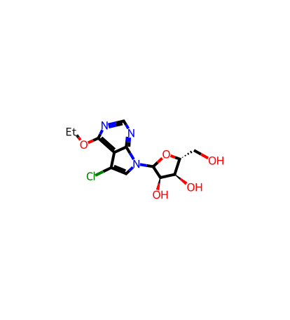 CCOc1ncnc2c1c(Cl)cn2C1O[C@H](CO)[C@@H](O)[C@H]1O